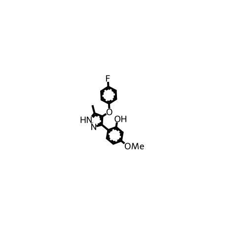 COc1ccc(-c2n[nH]c(C)c2Oc2ccc(F)cc2)c(O)c1